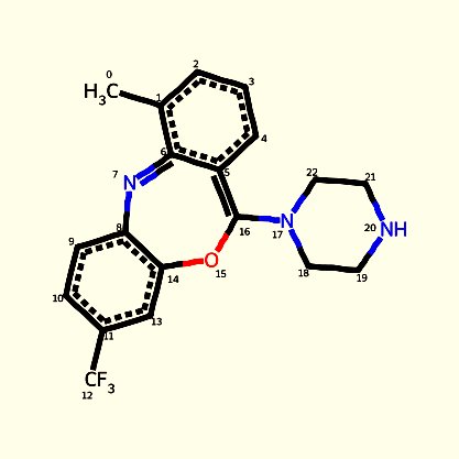 Cc1cccc2c1=Nc1ccc(C(F)(F)F)cc1OC=2N1CCNCC1